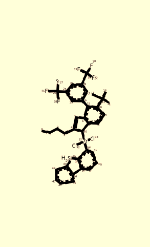 CCCCC1=Cc2c(ccc(C(C)(C)C)c2-c2cc(C(F)(F)F)cc(C(F)(F)F)c2)[CH]1[Zr]([Cl])([Cl])[c]1cccc2c1[SiH2]c1ccccc1-2